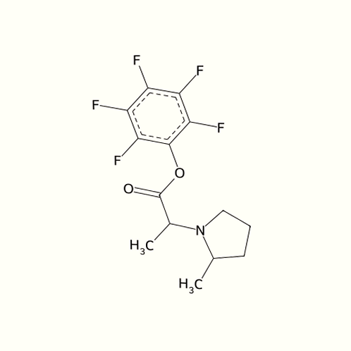 CC1CCCN1C(C)C(=O)Oc1c(F)c(F)c(F)c(F)c1F